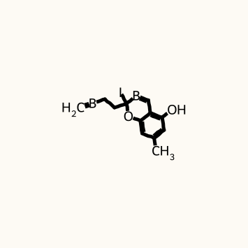 C=BCCC1(I)B=Cc2c(O)cc(C)cc2O1